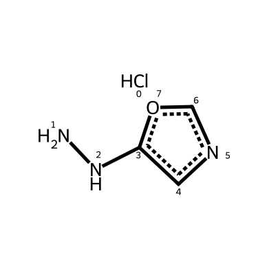 Cl.NNc1cnco1